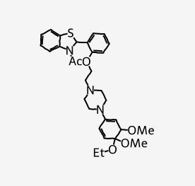 CCOC1(OC)C=CC(N2CCN(CCOc3ccccc3C3Sc4ccccc4N3C(C)=O)CC2)=CC1OC